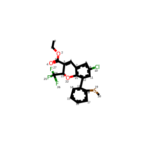 CCOC(=O)C1=Cc2cc(Cl)cc(-c3ccccc3SC)c2OC1C(F)(F)F